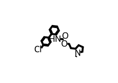 CN1CCCC1CCOC(=O)Nc1ccccc1-c1ccc(Cl)cc1